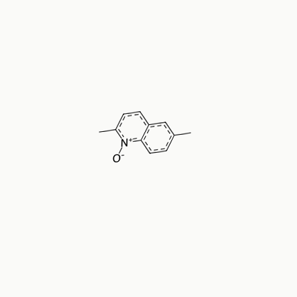 Cc1ccc2c(ccc(C)[n+]2[O-])c1